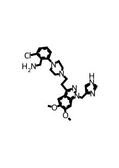 COc1cc2c(CCN3CCN(c4cccc(Cl)c4CN)CC3)nn(Cc3c[nH]cn3)c2cc1OC